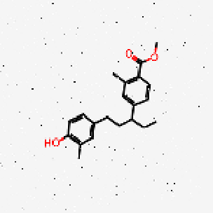 CCC(CCc1ccc(O)c(C)c1)c1ccc(C(=O)OC)c(C)c1